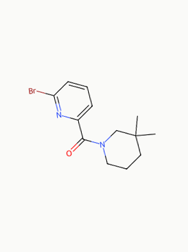 CC1(C)CCCN(C(=O)c2cccc(Br)n2)C1